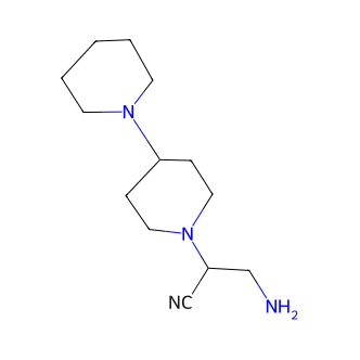 N#CC(CN)N1CCC(N2CCCCC2)CC1